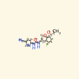 CCC(=O)c1ccc(F)c2c1OCC1C(NC(=O)Nc3ccc(C#N)cn3)C21